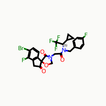 O=C(CN1COC2(C(=O)Cc3c2ccc(Br)c3F)C1=O)N(Cc1ccc(F)cc1)[C@@H](C1CC1)C(F)(F)F